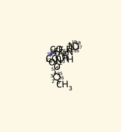 Cc1ccc(COC(=O)N2CC[C@H](CNc3ccccn3)C(F)(F)C2)cc1.O=C(O)/C=C/C(=O)O